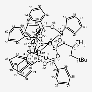 CC(CC(C)(C)C)C[Si]12O[Si]3(c4ccccc4)O[Si]4(c5ccccc5)O[Si](c5ccccc5)(O1)O[Si]1(c5ccccc5)O[Si](c5ccccc5)(O2)O[Si](c2ccccc2)(O3)O[Si](c2ccccc2)(O4)O1